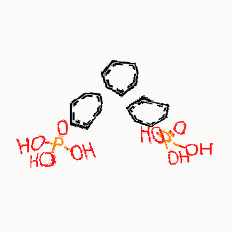 O=P(O)(O)O.O=P(O)(O)O.c1ccccc1.c1ccccc1.c1ccccc1